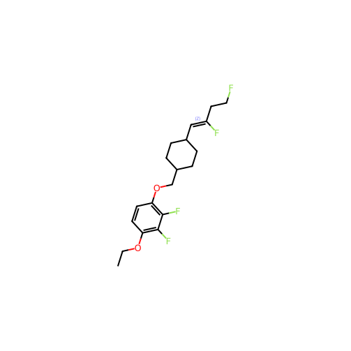 CCOc1ccc(OCC2CCC(/C=C(\F)CCF)CC2)c(F)c1F